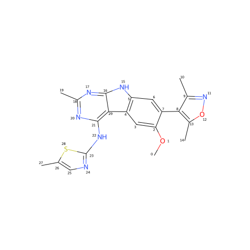 COc1cc2c(cc1-c1c(C)noc1C)[nH]c1nc(C)nc(Nc3ncc(C)s3)c12